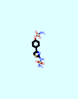 NS(=O)(=O)Nc1nc(-c2ccc(OS(N)(=O)=O)cc2)cs1